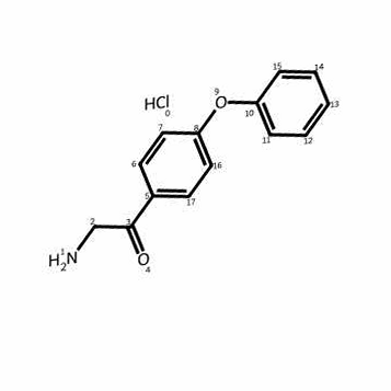 Cl.NCC(=O)c1ccc(Oc2ccccc2)cc1